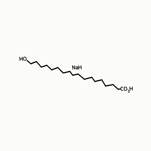 O=C(O)CCCCCCCCCCCCCCCCCO.[NaH]